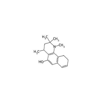 CC1CC(C)(C)N(C)c2c3c(cc(O)c21)C=CCC3